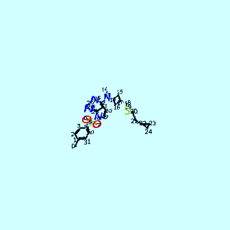 Cc1ccc(S(=O)(=O)n2ccc3c(N(C)[C@H]4C[C@@H](CSCCC5CC5)C4)ncnc32)cc1